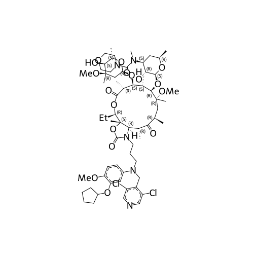 CC[C@H]1OC(=O)[C@H](C)[C@@H](O[C@H]2C[C@@](C)(OC)[C@@H](O)[C@H](C)O2)[C@H](C)[C@@H](O[C@@H]2O[C@H](C)C[C@H](N(C)C(=O)N3CCOCC3)[C@H]2O)[C@](C)(OC)C[C@@H](C)C(=O)[C@H](C)[C@H]2N(CCCN(Cc3c(Cl)cncc3Cl)c3ccc(OC)c(OC4CCCC4)c3)C(=O)O[C@]12C